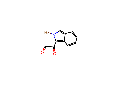 O=CC(=O)c1c2ccccc2cn1S